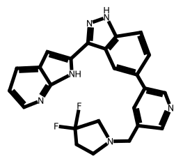 FC1(F)CCN(Cc2cncc(-c3ccc4[nH]nc(-c5cc6cccnc6[nH]5)c4c3)c2)C1